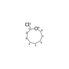 ClC1CCCCCCCO1